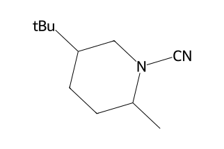 CC1CCC(C(C)(C)C)CN1C#N